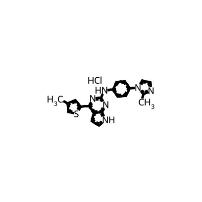 Cc1csc(-c2nc(Nc3ccc(-n4ccnc4C)cc3)nc3[nH]ccc23)c1.Cl